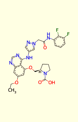 CCOc1cc(OC[C@H]2CCCN2C(=O)O)c2c(Nc3cnn(CC(=O)Nc4cccc(F)c4F)c3)ncnc2c1